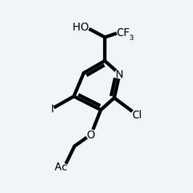 CC(=O)COc1c(I)cc(C(O)C(F)(F)F)nc1Cl